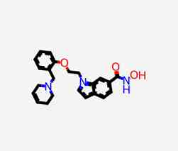 O=C(NO)c1ccc2ccn(CCOc3ccccc3CN3CC=CCC3)c2c1